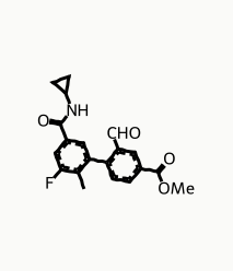 COC(=O)c1ccc(-c2cc(C(=O)NC3CC3)cc(F)c2C)c(C=O)c1